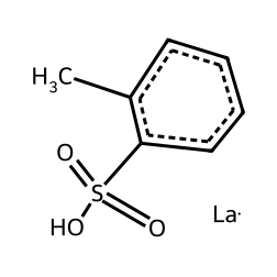 Cc1ccccc1S(=O)(=O)O.[La]